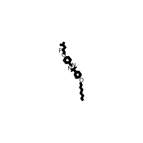 CCCCCCCCOc1ccc(-c2cnc(-c3ccc(OCC(F)CC(C)C)cc3)nc2)cc1